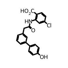 O=C(Cc1cccc(-c2ccc(O)cc2)c1)Nc1cc(Cl)ccc1C(=O)O